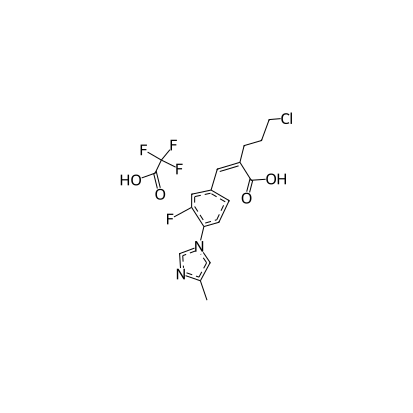 Cc1cn(-c2ccc(C=C(CCCCl)C(=O)O)cc2F)cn1.O=C(O)C(F)(F)F